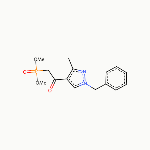 COP(=O)(CC(=O)c1cn(Cc2ccccc2)nc1C)OC